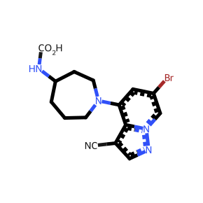 N#Cc1cnn2cc(Br)cc(N3CCCC(NC(=O)O)CC3)c12